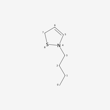 CCCCN1C=CCS1